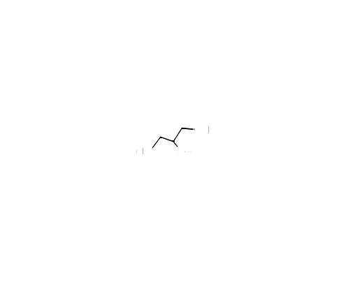 CCC[CH]C(O)CO